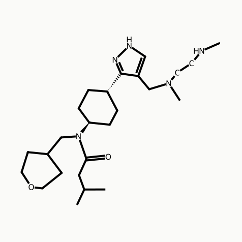 CNCCN(C)Cc1c[nH]nc1[C@H]1CC[C@H](N(CC2CCOCC2)C(=O)CC(C)C)CC1